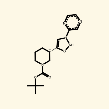 CC(C)(C)OC(=O)N1CCC[C@H](C2=CN(c3cnccn3)NO2)C1